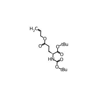 C=CCOC(=O)CC[C@H](NC(=O)OC(C)(C)C)C(=O)OC(C)(C)C